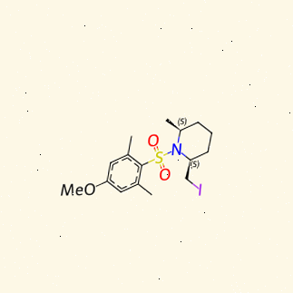 COc1cc(C)c(S(=O)(=O)N2[C@H](CI)CCC[C@@H]2C)c(C)c1